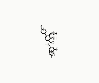 CCN1CCC(C2=CC=C(C(=O)Nc3cc(F)c4nc(C)cn4c3)C(=N)/C2=C\NC)CC1